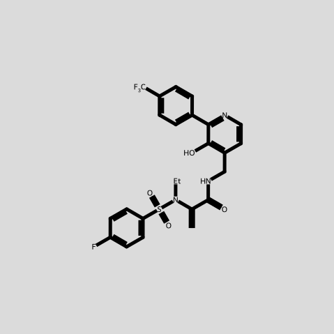 C=C(C(=O)NCc1ccnc(-c2ccc(C(F)(F)F)cc2)c1O)N(CC)S(=O)(=O)c1ccc(F)cc1